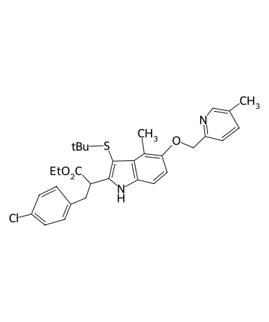 CCOC(=O)C(Cc1ccc(Cl)cc1)c1[nH]c2ccc(OCc3ccc(C)cn3)c(C)c2c1SC(C)(C)C